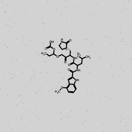 CCC(OCC(=O)C(C[C@@H]1CCNC1=O)NC(=O)C(CC(C)C)NC(=O)c1cc2c(OC)cccc2[nH]1)OC(=O)O